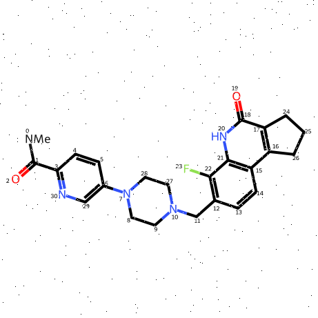 CNC(=O)c1ccc(N2CCN(Cc3ccc4c5c(c(=O)[nH]c4c3F)CCC5)CC2)cn1